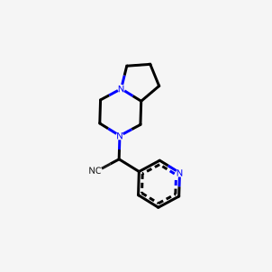 N#CC(c1cccnc1)N1CCN2CCCC2C1